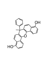 CC1(c2ccccc2)c2ccc3c(O)cccc3c2Oc2c1ccc1c(O)cccc21